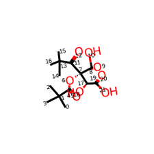 CC(C)(C)C(=O)O[C@@](C(=O)O)(C(=O)C(C)(C)C)[C@H](O)C(=O)O